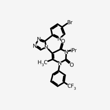 Cc1c(-n2cnnc2-c2ccc(Br)cn2)c(=O)n(C(C)C)c(=O)n1-c1cccc(C(F)(F)F)c1